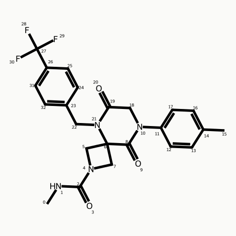 CNC(=O)N1CC2(C1)C(=O)N(c1ccc(C)cc1)CC(=O)N2Cc1ccc(C(F)(F)F)cc1